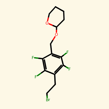 Fc1c(F)c(COC2CCCCO2)c(F)c(F)c1CCBr